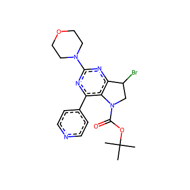 CC(C)(C)OC(=O)N1CC(Br)c2nc(N3CCOCC3)nc(-c3ccncc3)c21